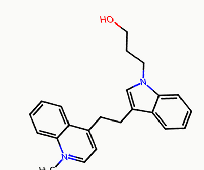 C[n+]1ccc(CCc2cn(CCCO)c3ccccc23)c2ccccc21